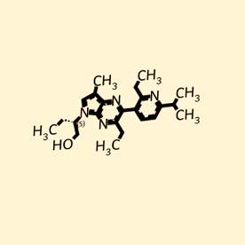 CCc1nc(C(C)C)ccc1-c1nc2c(C)cn([C@@H](CC)CO)c2nc1CC